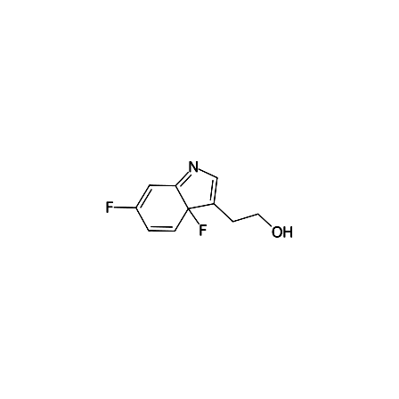 OCCC1=CN=C2C=C(F)C=CC12F